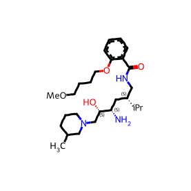 COCCCCOc1ccccc1C(=O)NC[C@@H](C[C@H](N)[C@@H](O)CN1CCCC(C)C1)C(C)C